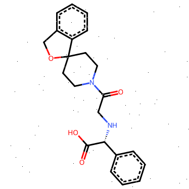 O=C(O)[C@H](NCC(=O)N1CCC2(CC1)OCc1ccccc12)c1ccccc1